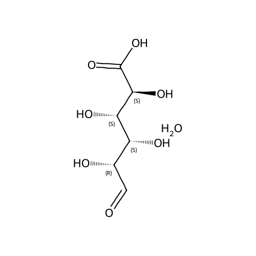 O.O=C[C@H](O)[C@@H](O)[C@H](O)[C@H](O)C(=O)O